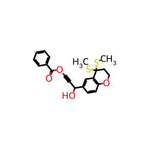 CSC1(SC)CCOc2ccc(C(O)C#COC(=O)c3ccccc3)cc21